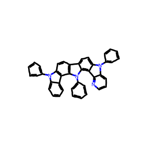 c1ccc(-n2c3ccccc3c3c2ccc2c4ccc5c(c6ncccc6n5-c5ccccc5)c4n(-c4ccccc4)c23)cc1